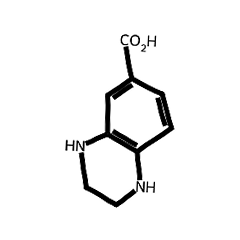 O=C(O)c1ccc2c(c1)NCCN2